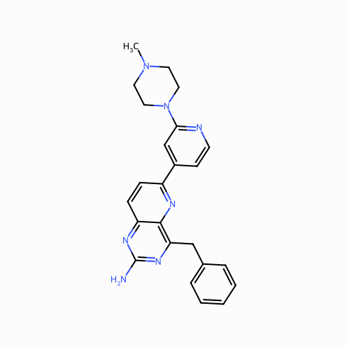 CN1CCN(c2cc(-c3ccc4nc(N)nc(Cc5ccccc5)c4n3)ccn2)CC1